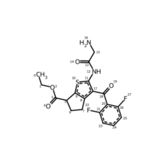 CCOC(=O)C1CCc2c1sc(NC(=O)CN)c2C(=O)c1c(F)cccc1F